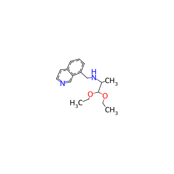 CCOC(OCC)C(C)NCc1cccc2ccncc12